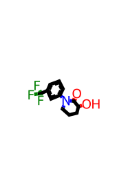 O=C1C(O)CCCN1c1cccc(C(F)(F)F)c1